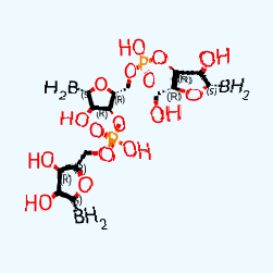 B[C@@H]1O[C@H](COP(=O)(O)O[C@@H]2C(O)[C@H](B)O[C@@H]2COP(=O)(O)O[C@@H]2C(O)[C@H](B)O[C@@H]2CO)[C@H](O)C1O